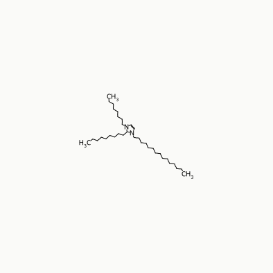 CCCCCCCCCCCCCCCN1C=CN(CCCCCCCC)C1CCCCCCCCC